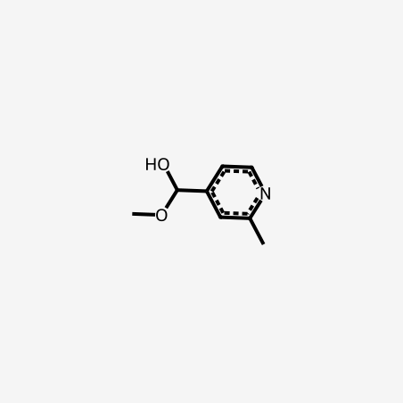 COC(O)c1ccnc(C)c1